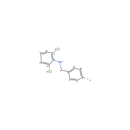 Fc1ccc(C[N]c2c(Cl)cccc2Cl)cc1